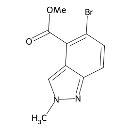 COC(=O)c1c(Br)ccc2nn(C)cc12